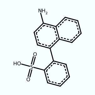 Nc1ccc(-c2ccccc2S(=O)(=O)O)c2ccccc12